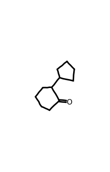 O=C1CCCCC1C1CCCC1